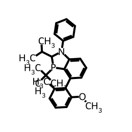 COc1cccc(C)c1-c1cccc2c1P(C(C)(C)C)C(C(C)C)N2c1ccccc1